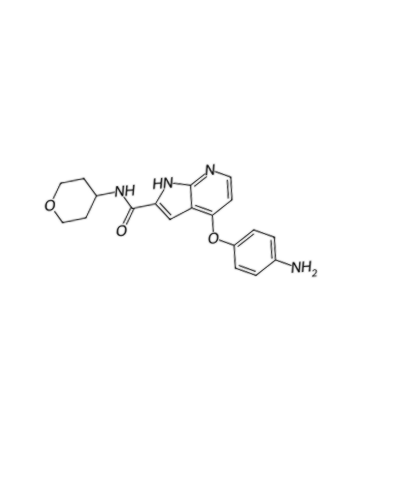 Nc1ccc(Oc2ccnc3[nH]c(C(=O)NC4CCOCC4)cc23)cc1